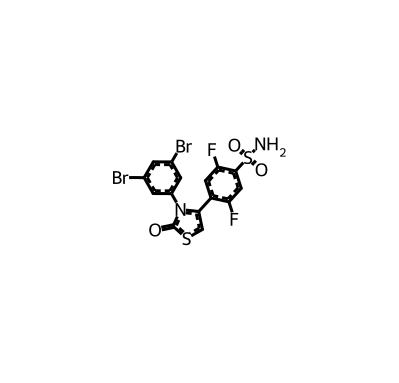 NS(=O)(=O)c1cc(F)c(-c2csc(=O)n2-c2cc(Br)cc(Br)c2)cc1F